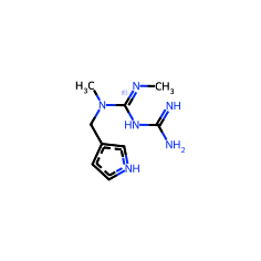 C/N=C(\NC(=N)N)N(C)Cc1cc[nH]c1